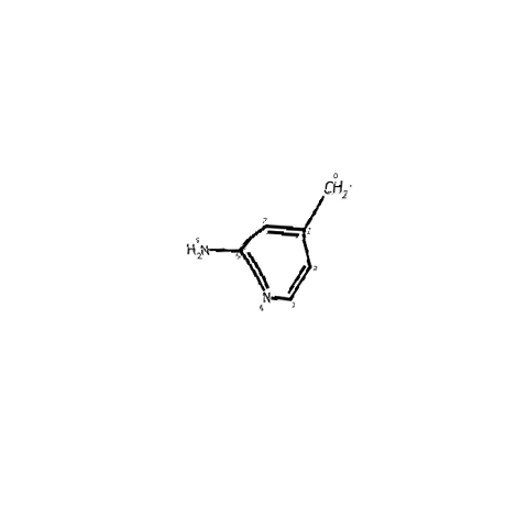 [CH2]c1ccnc(N)c1